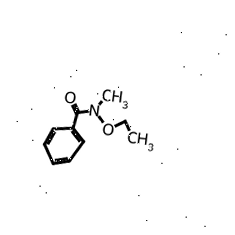 CCON(C)C(=O)c1ccccc1